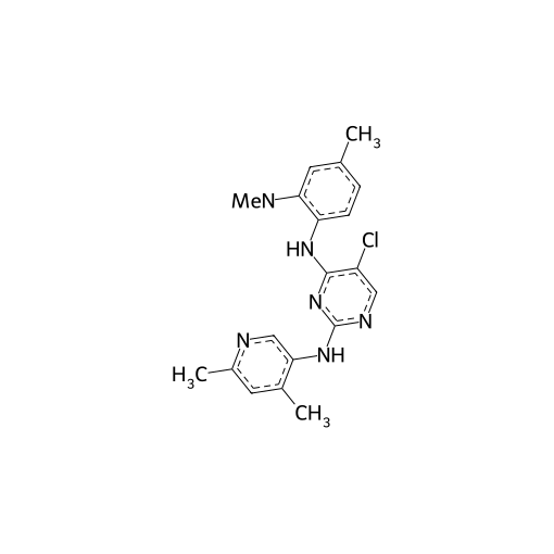 CNc1cc(C)ccc1Nc1nc(Nc2cnc(C)cc2C)ncc1Cl